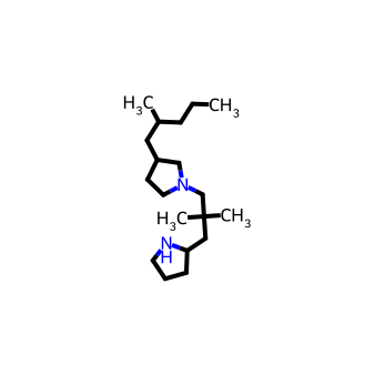 CCCC(C)CC1CCN(CC(C)(C)CC2CCCN2)C1